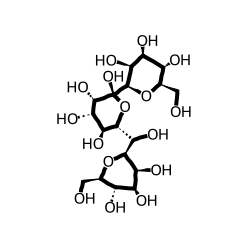 OC[C@H]1O[C@@H]([C@]2(O)O[C@H](C(O)[C@@H]3O[C@H](CO)[C@@H](O)[C@H](O)[C@@H]3O)[C@@H](O)[C@H](O)[C@@H]2O)[C@@H](O)[C@@H](O)[C@@H]1O